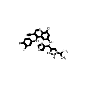 CC(C)N1C=C([C@@H](Nc2cc(Cl)c3ncc(C#N)c(Nc4ccc(F)c(Cl)c4)c3c2)c2cocn2)NN1